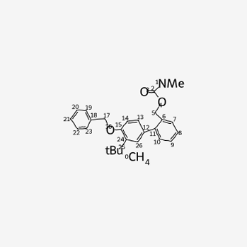 C.CNC(=O)OCc1ccccc1-c1ccc(OCc2ccccc2)c(C(C)(C)C)c1